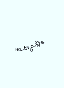 O=C(NCCCO)OCc1nc(Br)cs1